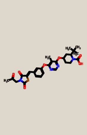 CC(=O)CN1C(=O)S/C(=C\c2cccc(Oc3ncnc(OC4CCN(C(=O)O)C(C(C)(C)C)C4)c3C)c2)C1=O